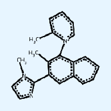 Cc1c(-c2nccn2C)cc2ccccc2c1-[n+]1ccccc1C